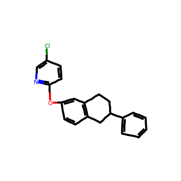 Clc1ccc(Oc2ccc3c(c2)CCC(c2ccccc2)C3)nc1